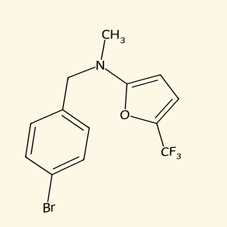 CN(Cc1ccc(Br)cc1)c1ccc(C(F)(F)F)o1